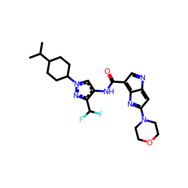 CC(C)C1CCC(n2cc(NC(=O)C3=C4N=C(N5CCOCC5)C=C4N=C3)c(C(F)F)n2)CC1